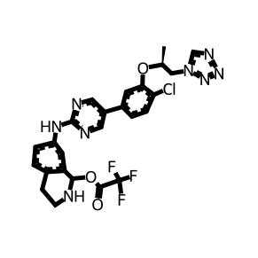 C[C@@H](Cn1cnnn1)Oc1cc(-c2cnc(Nc3ccc4c(c3)C(OC(=O)C(F)(F)F)NCC4)nc2)ccc1Cl